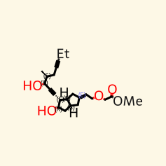 CCC#CC[C@H](C)[C@H](O)C#C[C@@H]1[C@H]2C/C(=C/COCC(=O)OC)C[C@H]2C[C@H]1O